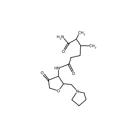 CC(C[CH]C(=O)NC1C(=O)COC1CN1CCCC1)C(C)C(N)=O